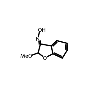 COC1Oc2ccccc2C1=NO